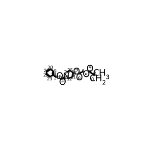 C=C(C)C(=O)OCC(=O)OC1CCN(C(=O)OCc2ccccc2)CC1